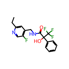 CCc1cc(CNC(=O)C(O)(c2ccccc2)C(F)(F)F)c(F)cn1